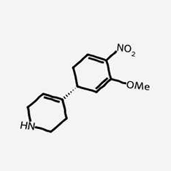 COC1=C[C@H](C2=CCNCC2)CC=C1[N+](=O)[O-]